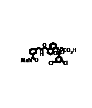 CNC(=O)c1cccc(CNC(=O)c2cccc3c(N(CC(=O)O)S(=O)(=O)c4cc(Cl)cc(Cl)c4)cccc23)c1